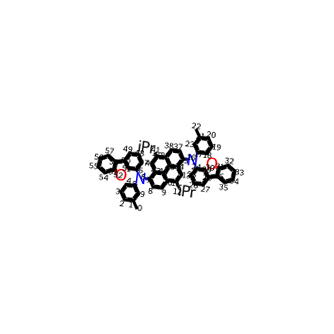 Cc1cccc(N(c2ccc3c(C(C)C)cc4c(N(c5cccc(C)c5)c5cccc6c5oc5ccccc56)ccc5c(C(C)C)cc2c3c54)c2cccc3c2oc2ccccc23)c1